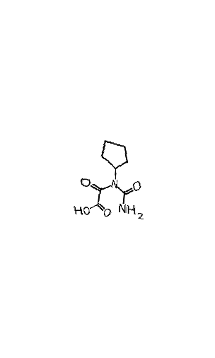 NC(=O)N(C(=O)C(=O)O)C1CCCC1